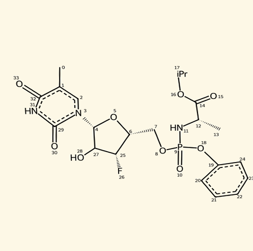 Cc1cn([C@@H]2O[C@H](COP(=O)(N[C@@H](C)C(=O)OC(C)C)Oc3ccccc3)[C@H](F)C2O)c(=O)[nH]c1=O